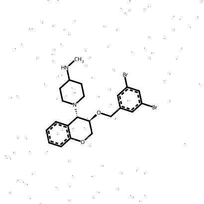 CNC1CCN([C@H]2c3ccccc3OC[C@@H]2OCc2cc(Br)cc(Br)c2)CC1